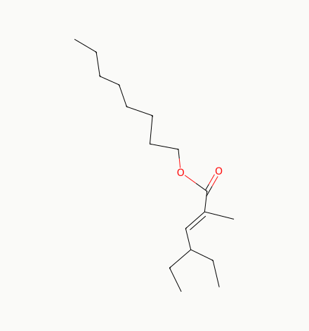 CCCCCCCCOC(=O)C(C)=CC(CC)CC